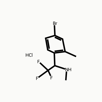 CNC(c1ccc(Br)cc1C)C(F)(F)F.Cl